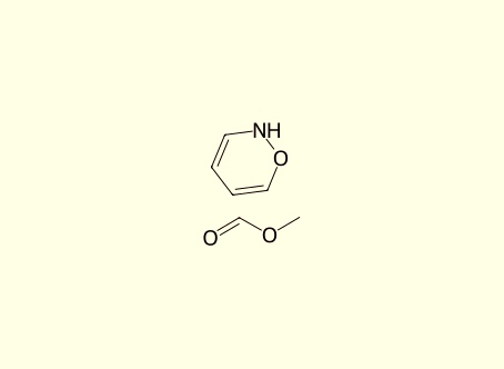 C1=CNOC=C1.COC=O